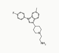 Cc1ccc2c(C3CCN(CCN)CC3)cn(-c3ccc(F)cc3)c2c1